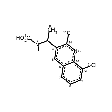 CC(NC(=O)O)c1cc2cccc(Cl)c2nc1Cl